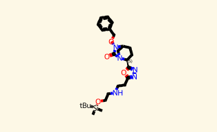 CC(C)(C)[Si](C)(C)OCCNCCc1nnc([C@@H]2CCC3CN2C(=O)N3OCc2ccccc2)o1